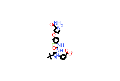 COC(=O)c1cccc(-n2nc(C(C)(C)C)cc2NC(=O)Nc2ccc(Oc3ccnc(C(N)=O)c3)cc2F)c1